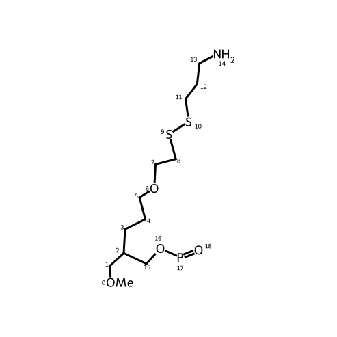 COCC(CCCOCCSSCCCN)COP=O